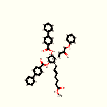 CC(C)OC(=O)CCCC=CC[C@@H]1[C@@H](C=CC(=O)COc2ccccc2)[C@H](OC(=O)c2ccc(-c3ccccc3)cc2)C[C@@H]1OC(=O)c1ccc(-c2ccccc2)cc1